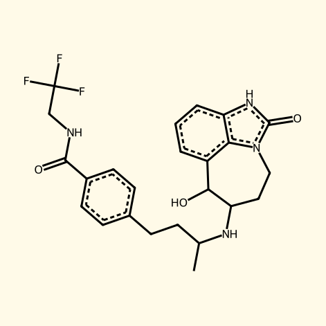 CC(CCc1ccc(C(=O)NCC(F)(F)F)cc1)NC1CCn2c(=O)[nH]c3cccc(c32)C1O